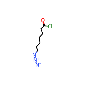 [N-]=[N+]=NCCCCCCC(=O)Cl